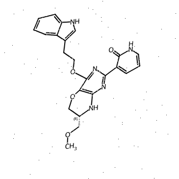 COC[C@@H]1COc2c(nc(-c3ccc[nH]c3=O)nc2OCCc2c[nH]c3ccccc23)N1